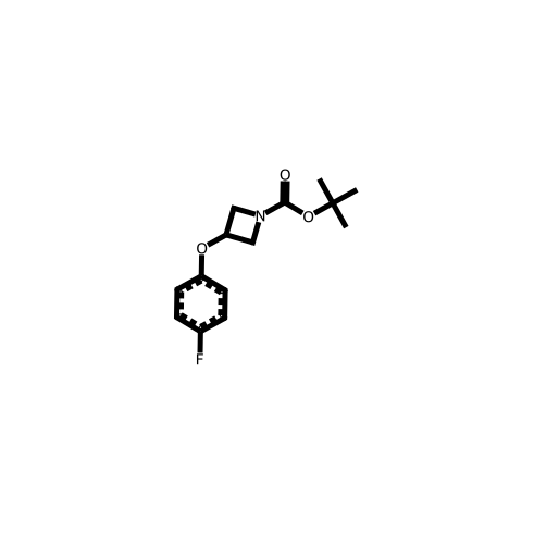 CC(C)(C)OC(=O)N1CC(Oc2ccc(F)cc2)C1